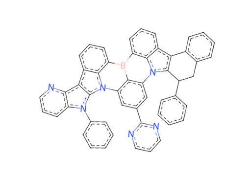 c1ccc(C2Cc3ccccc3-c3c2n2c4c(cccc34)B3c4c-2cc(-c2ncccn2)cc4-n2c4c3cccc4c3c4ncccc4n(-c4ccccc4)c32)cc1